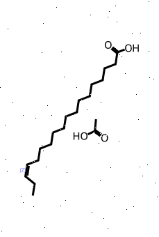 CC(=O)O.CC/C=C\CCCCCCCCCCCCCC(=O)O